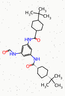 CC(C)(C)C1CCC(C(=O)Nc2cc(NC=O)cc(NC(=O)[C@H]3CC[C@@H](C(C)(C)C)CC3)c2)CC1